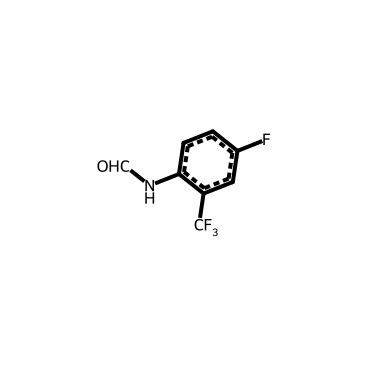 O=CNc1ccc(F)cc1C(F)(F)F